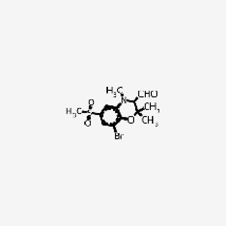 CN1c2cc(S(C)(=O)=O)cc(Br)c2OC(C)(C)C1C=O